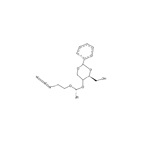 CC(C)[C@H](OCCN=[N+]=[N-])OC1COC(c2ccccc2)O[C@H]1CO